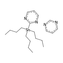 CCC[CH2][Sn]([CH2]CCC)([CH2]CCC)[c]1ncccn1.c1cncnc1